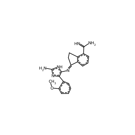 COc1ccccc1-c1nc(N)[nH]c1N=C1CCc2c(C(=N)N)cccc21